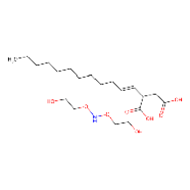 CCCCCCCCCCC=CC(CC(=O)O)C(=O)O.OCCONOCCO